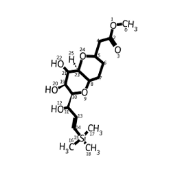 COC(=O)CC1CCC2O[C@@H](C(O)/C=C/[Si](C)(C)C)[C@@H](O)C(O)[C@H]2O1